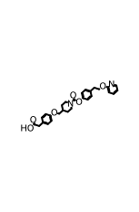 O=C(O)Cc1ccc(OCC2CCN(C(=O)Oc3ccc(CCOc4ccccn4)cc3)CC2)cc1